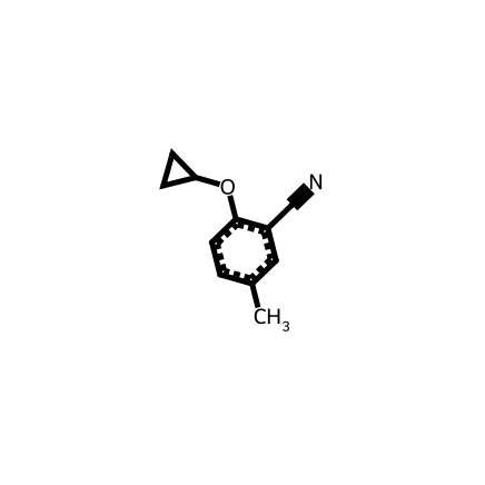 Cc1ccc(OC2CC2)c(C#N)c1